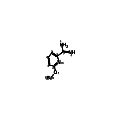 CC(C)(C)Oc1cccc(C(=N)N)n1